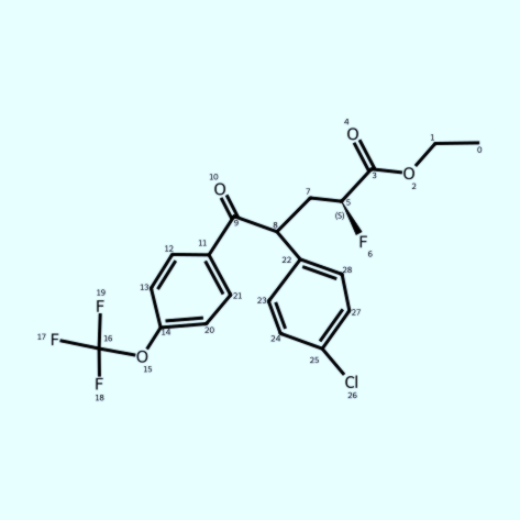 CCOC(=O)[C@@H](F)CC(C(=O)c1ccc(OC(F)(F)F)cc1)c1ccc(Cl)cc1